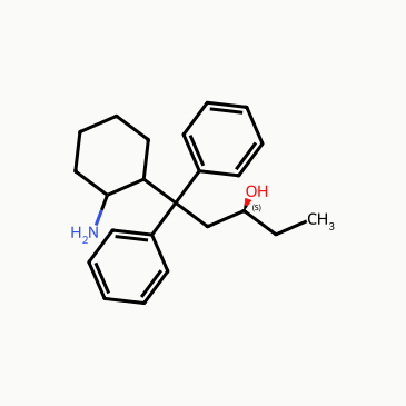 CC[C@H](O)CC(c1ccccc1)(c1ccccc1)C1CCCCC1N